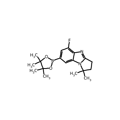 CC1(C)CCc2nc3c(F)cc(B4OC(C)(C)C(C)(C)O4)cc3n21